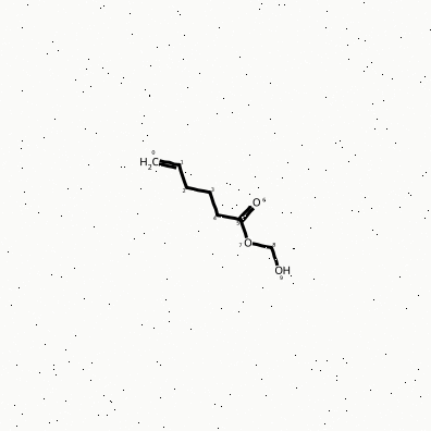 C=CCCCC(=O)OCO